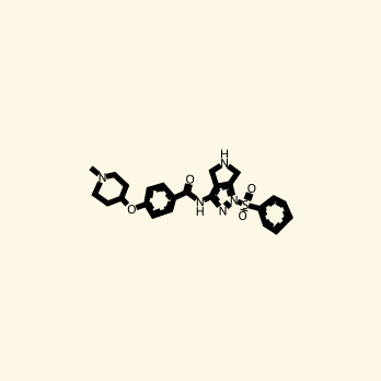 CN1CCC(Oc2ccc(C(=O)Nc3nn(S(=O)(=O)c4ccccc4)c4c3CNC4)cc2)CC1